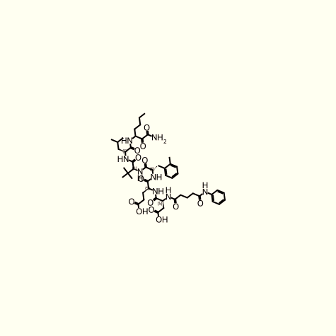 CCCCC(NC(=O)[C@H](CC(C)C)NC(=O)[C@@H](NC(=O)[C@H](Cc1ccccc1C)NC(=O)[C@H](CCC(=O)O)NC(=O)[C@H](CC(=O)O)NC(=O)CCCC(=O)Nc1ccccc1)C(C)(C)C)C(=O)C(N)=O